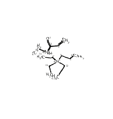 C=CC(=O)NC.CCC[N+](CC)(CC)CC.[Cl-]